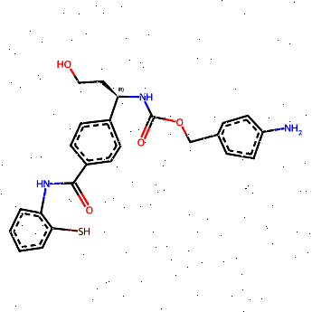 Nc1ccc(COC(=O)N[C@H](CCO)c2ccc(C(=O)Nc3ccccc3S)cc2)cc1